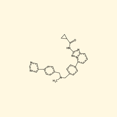 CN(Cc1ccc(-c2cncnc2)cc1)Cc1ccc(-c2cccc3nc(NC(=O)C4CC4)nn23)cc1